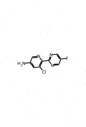 Nc1cnc(-c2ncc(F)cn2)c(Cl)c1